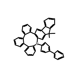 CC1(C)c2ccccc2-c2cc3c4ccccc4c4ccccc4c4ccccc4n(-c4ccc(-c5ccccc5)cc4)c3cc21